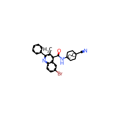 Cc1c(-c2ccccc2)nc2ccc(Br)cc2c1C(=O)NC12CCC(C#N)(CC1)CC2